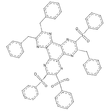 O=S(=O)(c1ccccc1)c1nc2c3nc(Cc4ccccc4)c(Cc4ccccc4)nc3c3nc(S(=O)(=O)c4ccccc4)c(S(=O)(=O)c4ccccc4)nc3c2nc1Cc1ccccc1